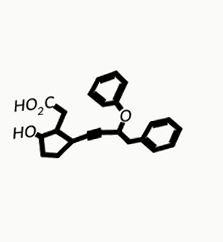 O=C(O)CC1C(O)CCC1C#CC(Cc1ccccc1)Oc1ccccc1